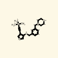 C[Si](C)(C)C#Cc1cscc1OCc1cccc(CN2CCOCC2)c1